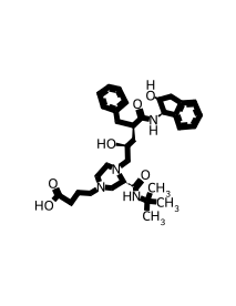 CC(C)(C)NC(=O)[C@@H]1CN(CCCC(=O)O)CCN1C[C@@H](O)C[C@@H](Cc1ccccc1)C(=O)N[C@H]1c2ccccc2C[C@H]1O